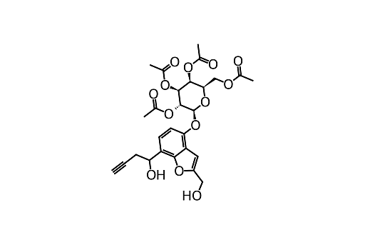 C#CCC(O)c1ccc(O[C@@H]2O[C@H](COC(C)=O)[C@H](OC(C)=O)[C@H](OC(C)=O)[C@H]2OC(C)=O)c2cc(CO)oc12